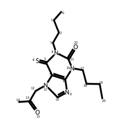 CCCCn1c(=S)c2c(ncn2CC(C)=O)n(CCCC)c1=O